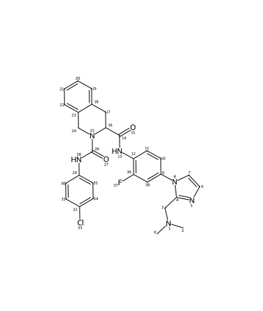 CN(C)Cc1nccn1-c1ccc(NC(=O)C2Cc3ccccc3CN2C(=O)Nc2ccc(Cl)cc2)c(F)c1